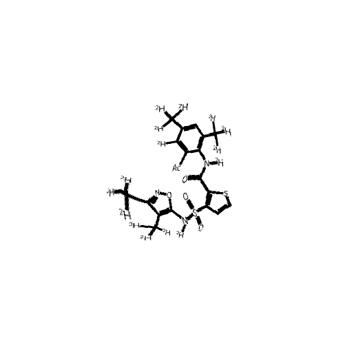 [2H]c1c(C([2H])([2H])[2H])cc(C([2H])([2H])[2H])c(N([2H])C(=O)c2sccc2S(=O)(=O)N([2H])c2onc(C([2H])([2H])[2H])c2C([2H])([2H])[2H])c1C(C)=O